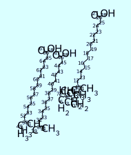 C=CC.C=CC.C=CC.CC(C)CCCCCCCCCCCCCCC(=O)O.CC(C)CCCCCCCCCCCCCCC(=O)O.CC(C)CCCCCCCCCCCCCCC(=O)O